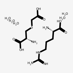 N=C(N)NCCC[C@H](N)C(=O)O.N[C@@H](CSCC(=O)O)C(=O)O.O.O.O.O.O